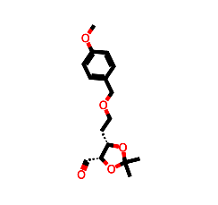 COc1ccc(COCC[C@@H]2OC(C)(C)O[C@@H]2C=O)cc1